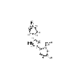 COc1cc(C)ccc1-c1c[nH]c(-c2ccc(F)nc2)n1